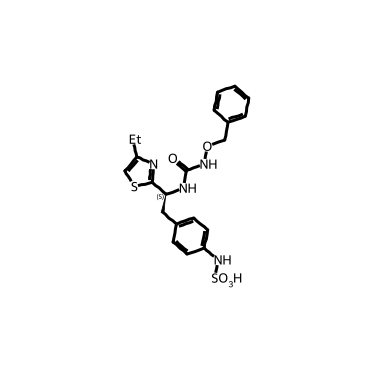 CCc1csc([C@H](Cc2ccc(NS(=O)(=O)O)cc2)NC(=O)NOCc2ccccc2)n1